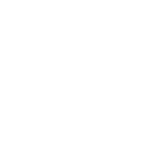 CCCCCCC(C)(CCCC)c1ccsn1